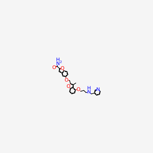 Cc1c(COc2ccc3oc(C(N)=O)cc3c2)oc2cccc(OCCCNCc3cccnc3)c12